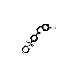 O=C(/C=C\c1ccc(O)cc1)c1ccc(S(=O)(=O)N2CCOCC2)cc1